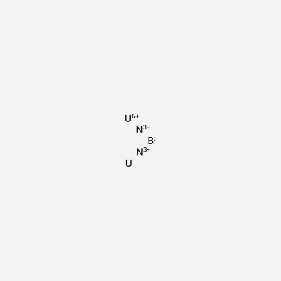 [B].[N-3].[N-3].[U+6].[U]